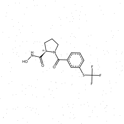 O=C(NO)[C@H]1CCCN1C(=O)c1cccc(SC(F)(F)F)c1